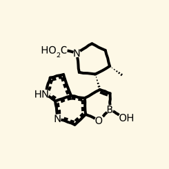 C[C@H]1CCN(C(=O)O)C[C@H]1C1=CB(O)Oc2cnc3[nH]ccc3c21